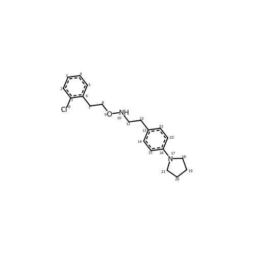 Clc1ccccc1CCONCCc1ccc(N2CCCC2)cc1